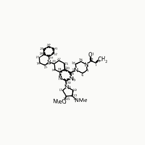 C=CC(=O)N1CCN(c2nc(N3CC(NC)C(OC)C3)nc3c2CCC(N2CCCc4ccccc42)C3)CC1